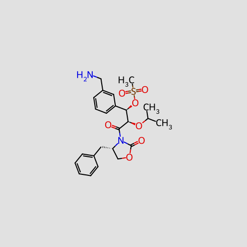 CC(C)O[C@@H](C(=O)N1C(=O)OC[C@@H]1Cc1ccccc1)[C@H](OS(C)(=O)=O)c1cccc(CN)c1